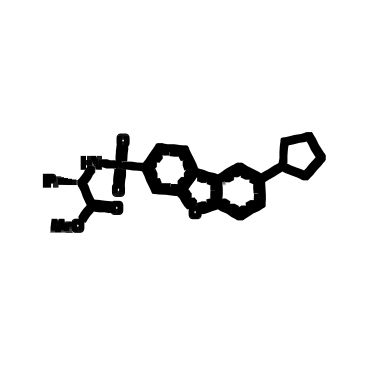 COC(=O)[C@@H](NS(=O)(=O)c1ccc2c(c1)oc1ccc(C3CCCC3)cc12)C(C)C